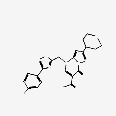 O=C(NC(F)(F)F)c1cn(Cc2nc(-c3ccc(F)cc3)no2)c2cc(C3CCOCC3)nn2c1=O